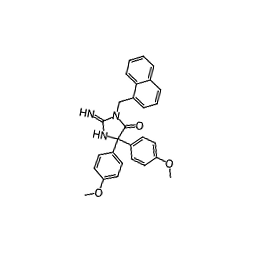 COc1ccc(C2(c3ccc(OC)cc3)NC(=N)N(Cc3cccc4ccccc34)C2=O)cc1